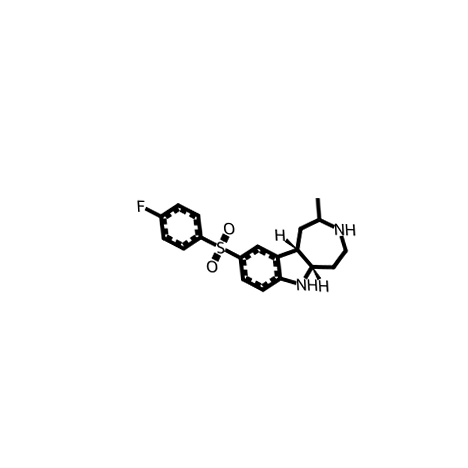 CC1C[C@H]2c3cc(S(=O)(=O)c4ccc(F)cc4)ccc3N[C@H]2CCN1